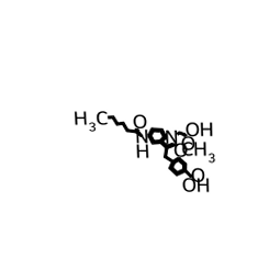 CCCCCC(=O)Nc1ccc2c(c1)c(Cc1ccc(C(=O)O)cc1OC)cn2CC(=O)O